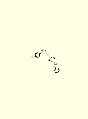 CCCN(CCCCN1CCCN(C(=O)Cc2ccccc2)CC1=O)C(C)Cc1ccc(S(C)(=O)=O)cc1